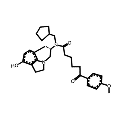 COc1ccc(C(=O)CCCCC(=O)N(CC2CCCC2)[C@@H](Cc2ccc(O)cc2)CN2CCCC2)cc1